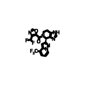 O=C(c1ocnc1C(F)F)N1CCc2[nH]cnc2[C@H]1c1cc2c(C(F)(F)F)cccn2n1